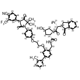 Cc1ncsc1-c1ccc(CNC(=O)[C@@H]2C[C@@H](O)CN2C(=O)[C@H](C(C)C)N2Cc3ccccc3C2=O)c(OCCOc2ccc(N3C(=S)N(c4ccc(C#N)c(C(F)(F)F)c4)C(=O)C3(C)C)cc2)c1